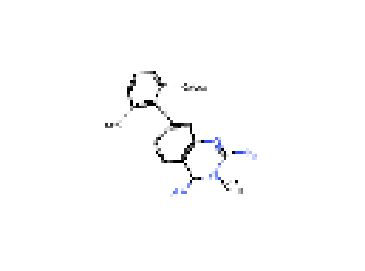 COc1cccc(OC)c1-c1ccc2c(c1)N=C(N)N(C)C2N